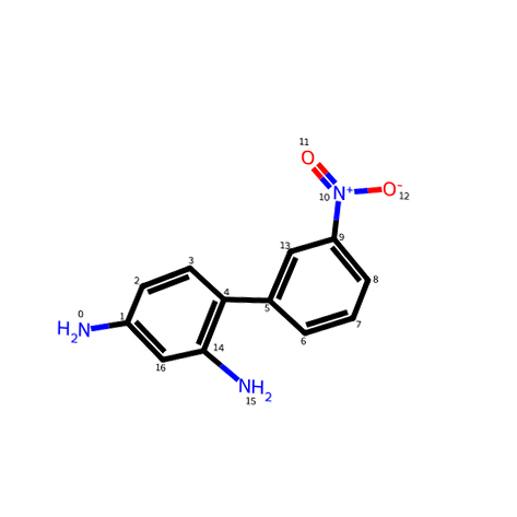 Nc1ccc(-c2cccc([N+](=O)[O-])c2)c(N)c1